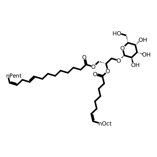 CCCCC/C=C\C/C=C/CCCCCCCC(=O)OC[C@H](CO[C@@H]1O[C@H](CO)[C@H](O)[C@H](O)[C@H]1O)OC(=O)CCCCC/C=C\CCCCCCCC